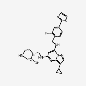 O[C@H]1CNCC[C@@H]1CNc1cc(NCc2ccc(-c3nccs3)cc2F)n2ncc(C3CC3)c2n1